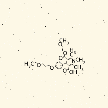 CCOCCCOc1ccc(C2C(C(=O)O)=C(C)N(C)C(C)=C2C(=O)OCCOC)cc1